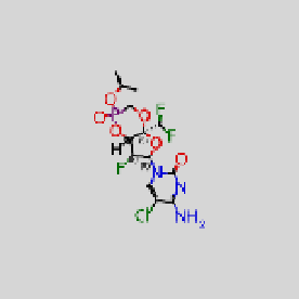 CC(C)OP1(=O)CO[C@@]2(C(F)F)O[C@@H](n3cc(Cl)c(N)nc3=O)[C@H](F)[C@@H]2O1